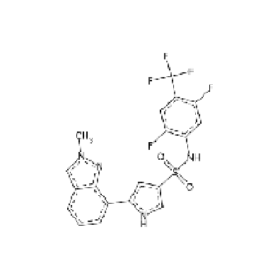 Cn1cc2cccc(-c3cc(S(=O)(=O)Nc4cc(F)c(C(F)(F)F)cc4F)c[nH]3)c2n1